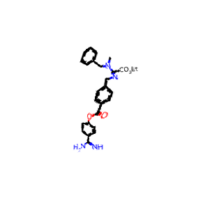 CCOC(=O)/C(=N/Cc1ccc(C(=O)Oc2ccc(C(=N)N)cc2)cc1)N(C)Cc1ccccc1